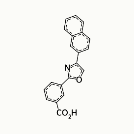 O=C(O)c1cccc(-c2nc(-c3ccc4ccccc4c3)co2)c1